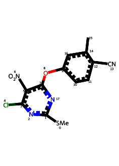 CSc1nc(Cl)c([N+](=O)[O-])c(Oc2ccc(C#N)c(C)c2)n1